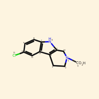 O=C(O)N1CCc2c([nH]c3ccc(Cl)cc23)C1